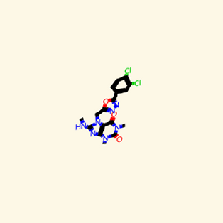 CNc1nc2c(c(=O)n(C)c(=O)n2C)n1Cc1nnc(-c2ccc(Cl)c(Cl)c2)o1